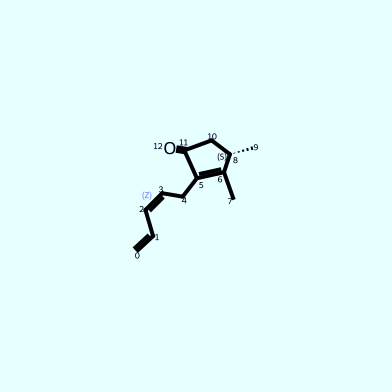 C=C/C=C\CC1=C(C)[C@@H](C)CC1=O